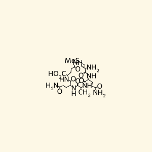 CSCCC(N)C(=O)NC(CCC(N)=O)C(=O)NC(C)C(=O)NC(CCC(N)=O)C(=O)NC(CCC(N)=O)C(=O)O